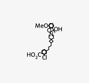 COc1cccc(C(C)(O)C(=O)N2CCC3(CC2)CC(CCCc2ccc(C(=O)O)c(Cl)c2)C3)c1